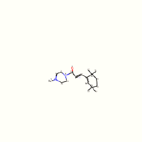 CC(=O)N1CCN(C(=O)/C=C/C2=CC(C)(C)CCC2(C)C)CC1